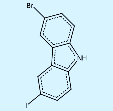 Brc1ccc2[nH]c3ccc(I)cc3c2c1